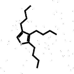 CCCCc1csc(CCCC)c1CCCC